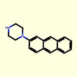 [c]1c(N2CCNCC2)ccc2cc3ccccc3cc12